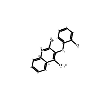 O=C(O)c1c(Sc2ccccc2Cl)c(O)nc2ccccc12